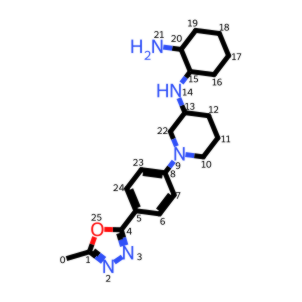 Cc1nnc(-c2ccc(N3CCCC(NC4CCCCC4N)C3)cc2)o1